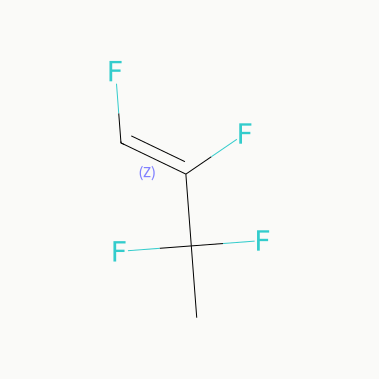 CC(F)(F)/C(F)=C/F